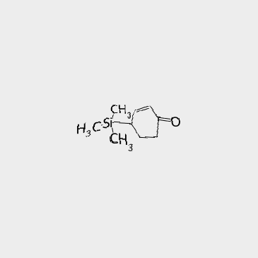 C[Si](C)(C)C1C=CC(=O)CC1